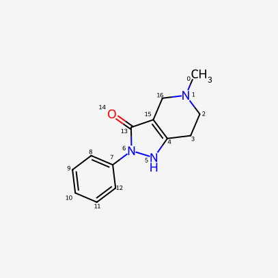 CN1CCc2[nH]n(-c3ccccc3)c(=O)c2C1